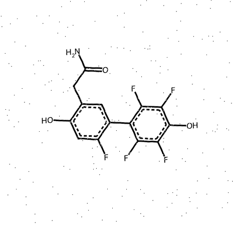 NC(=O)Cc1cc(-c2c(F)c(F)c(O)c(F)c2F)c(F)cc1O